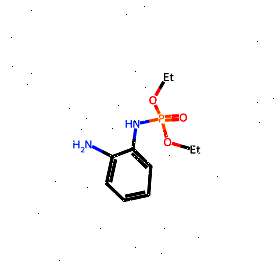 CCOP(=O)(Nc1ccccc1N)OCC